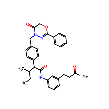 COC(=O)CCc1cccc(NC(=O)C(c2ccc(CN3N=C(c4ccccc4)OCC3=O)cc2)C(C)CC#N)c1